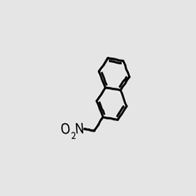 O=[N+]([O-])Cc1ccc2ccccc2c1